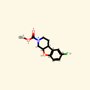 CC(C)(C)OC(=O)N1CCC2c3cc(F)ccc3OC2C1